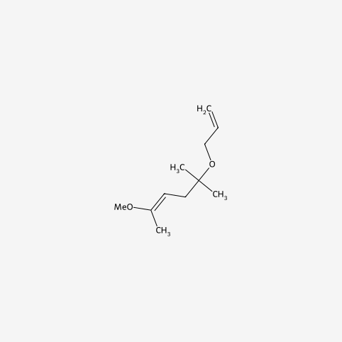 C=CCOC(C)(C)CC=C(C)OC